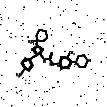 Cc1ccc(-n2nc(C3(C)CCCCC3)cc2NC(=O)Nc2cnc(N3CCNCC3)c(C)c2)cc1